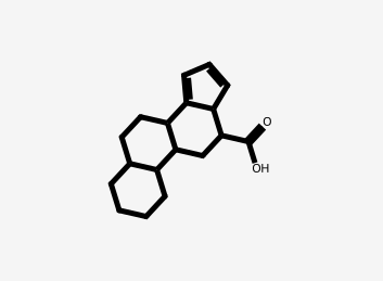 O=C(O)C1CC2C(CCC3CCCCC32)C2=CC=CC21